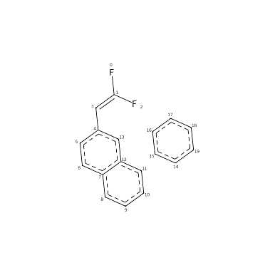 FC(F)=Cc1ccc2ccccc2c1.c1ccccc1